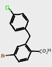 O=C(O)c1ccc(Br)cc1Cc1ccc(Cl)cc1